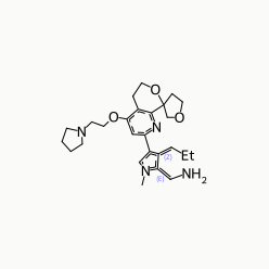 CC/C=c1/c(-c2cc(OCCN3CCCC3)c3c(n2)C2(CCOC2)OCC3)cn(C)/c1=C/N